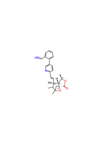 CC1[C@H](/C=C/c2ccc(-c3ccccc3C=N)cn2)[C@@H]2[C@@H](C)OC(=O)[C@]23CC1(C)O3